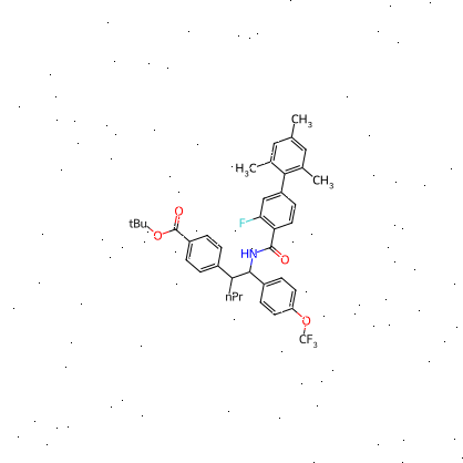 CCCC(c1ccc(C(=O)OC(C)(C)C)cc1)C(NC(=O)c1ccc(-c2c(C)cc(C)cc2C)cc1F)c1ccc(OC(F)(F)F)cc1